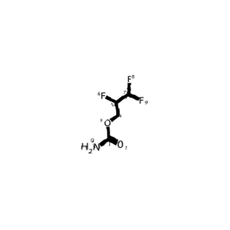 NC(=O)OCC(F)C(F)F